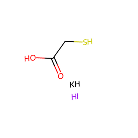 I.O=C(O)CS.[KH]